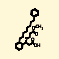 COC(=O)CCSC(CC(=O)O)c1ccccc1CCCCCCCCc1ccccc1